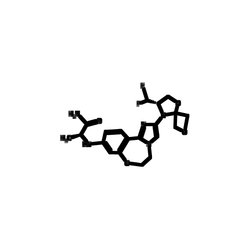 C[C@H](Nc1ccc2c(c1)OCCn1cc(N3[C@H](C(F)F)COC34COC4)nc1-2)C(N)=O